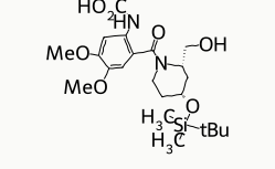 COc1cc(NC(=O)O)c(C(=O)N2CC[C@@H](O[Si](C)(C)C(C)(C)C)C[C@H]2CO)cc1OC